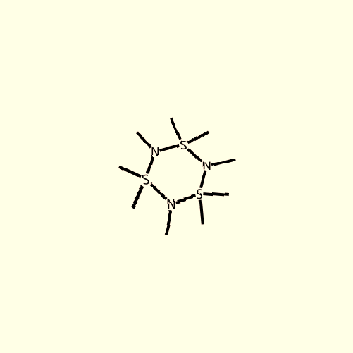 CN1S(C)(C)N(C)S(C)(C)N(C)S1(C)C